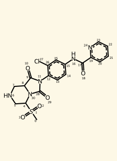 CS(=O)(=O)C1CNCC2C(=O)N(c3ccc(NC(=O)c4ccccn4)cc3Cl)C(=O)N21